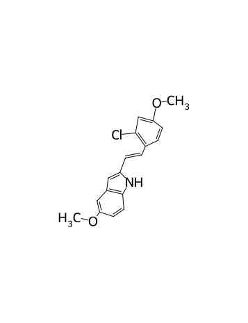 COc1ccc(/C=C/c2cc3cc(OC)ccc3[nH]2)c(Cl)c1